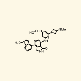 CNC1CN(c2cccc(Nc3cnc(-c4ccnc5c4ccn5C)c4c3C(=O)NC4)n2)C1.O=CO